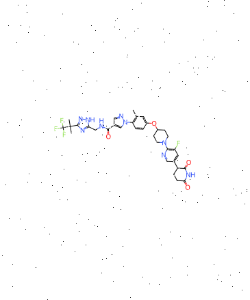 Cc1cc(OC2CCN(c3ncc(C4CCC(=O)NC4=O)cc3F)CC2)ccc1-n1cc(C(=O)NCc2nc(C(C)(C)C(F)(F)F)n[nH]2)cn1